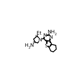 CC[C@H]1C[C@@H](N)CN1c1nc(N)nc2c3c(sc12)CCCC3